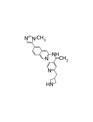 C=C(Nc1cc2cc(-c3cncn3C)ccc2cn1)c1ccnc(CC2CNC2)c1